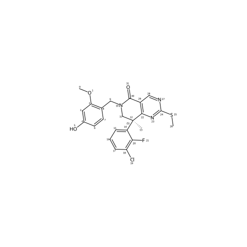 COc1cc(O)ccc1CN1C[C@](C)(c2cccc(Cl)c2F)c2nc(SC)ncc2C1=O